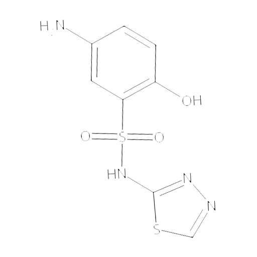 Nc1ccc(O)c(S(=O)(=O)Nc2nncs2)c1